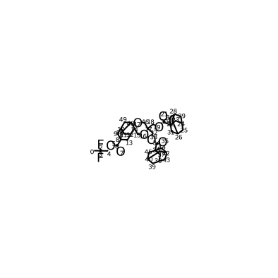 CC(F)(F)COC(=O)C12CC3CC(C1)C1(COC(COC(=O)C45CC6CC(CC(C6)C4)C5)(COC(=O)C45CC6CC(CC(C6)C4)C5)CO1)C(C3)C2